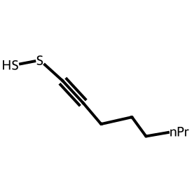 CCCCCCC#CSS